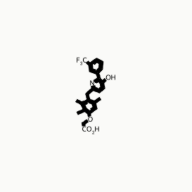 Cc1cc(OCC(=O)O)c(C)c(C)c1Cc1ccc(O)c(-c2cccc(C(F)(F)F)c2)n1